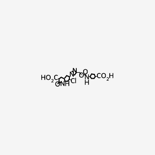 O=C(Nc1ccc(C(=O)O)cc1)OCc1cn(-c2cc3cc(C(=O)O)c(=O)[nH]c3cc2Cl)cn1